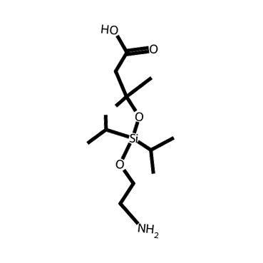 CC(C)[Si](OCCN)(OC(C)(C)CC(=O)O)C(C)C